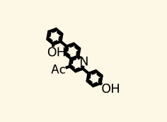 CC(=O)c1cc(-c2ccc(O)cc2)nc2ccc(-c3ccccc3O)cc12